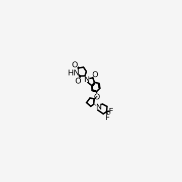 O=C1CCC(N2Cc3cc(O[C@@H]4CCC[C@H]4N4CCC(F)(F)CC4)ccc3C2=O)C(=O)N1